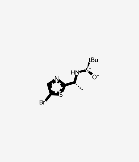 C[C@@H](N[S@+]([O-])C(C)(C)C)c1ncc(Br)s1